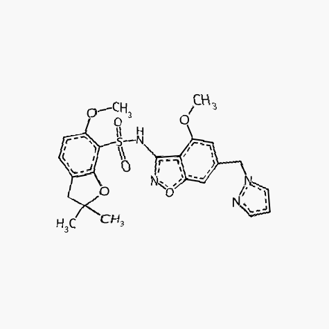 COc1ccc2c(c1S(=O)(=O)Nc1noc3cc(Cn4cccn4)cc(OC)c13)OC(C)(C)C2